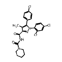 Cc1c(C(=O)NC(=O)N2CCCCC2)nn(-c2ccc(Cl)cc2Cl)c1-c1ccc(Cl)cc1